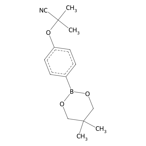 CC1(C)COB(c2ccc(OC(C)(C)C#N)cc2)OC1